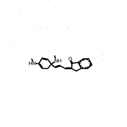 CNC1=CCC(C=CC=C2Cc3ccccc3C2=O)(NC)C=C1